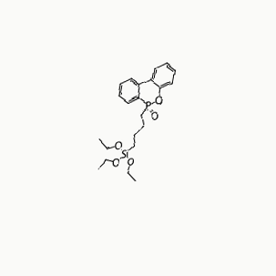 CCO[Si](CCCCP1(=O)Oc2ccccc2-c2ccccc21)(OCC)OCC